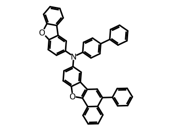 c1ccc(-c2ccc(N(c3ccc4oc5ccccc5c4c3)c3ccc4oc5c6ccccc6c(-c6ccccc6)cc5c4c3)cc2)cc1